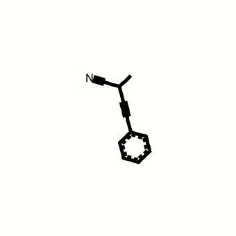 CC(C#N)C#Cc1ccccc1